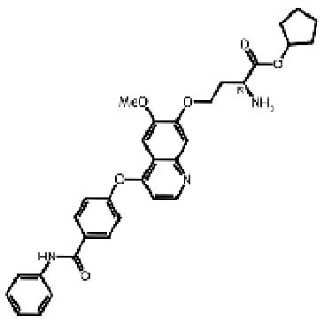 COc1cc2c(Oc3ccc(C(=O)Nc4ccccc4)cc3)ccnc2cc1OCC[C@H](N)C(=O)OC1CCCC1